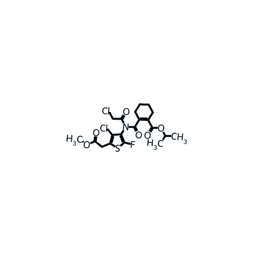 COC(=O)Cc1sc(F)c(N(C(=O)CCl)C(=O)C2=C(C(=O)OC(C)C)CCCC2)c1Cl